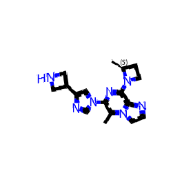 Cc1c(-n2cnc(C3CNC3)c2)nc(N2CC[C@@H]2C)c2nccn12